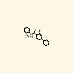 N#Cc1ccccc1NC(=O)c1ccc(-c2ccccc2)cc1F